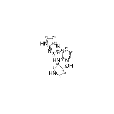 O[C@@H]1CCNC[C@H]1Nc1ncccc1-c1cnc2[nH]ccc2n1